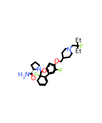 CCC(F)(CC)CN1CCC(COc2ccc(C3=CC=CCC3(F)C(=O)N3CCC[C@H]3C(N)=O)cc2F)CC1